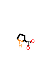 [O]=[Ti](=[O])[CH]1CCCP1